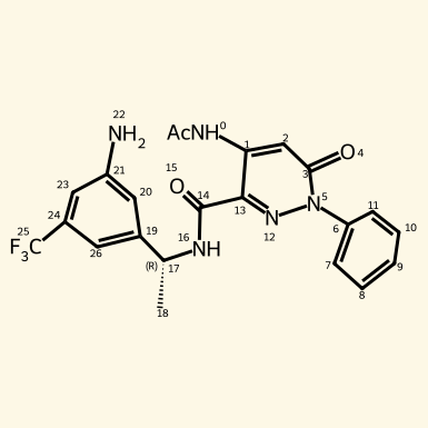 CC(=O)Nc1cc(=O)n(-c2ccccc2)nc1C(=O)N[C@H](C)c1cc(N)cc(C(F)(F)F)c1